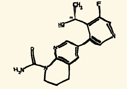 C[C@@H](O)c1c(F)cncc1-c1cnc2c(c1)CCCN2C(N)=O